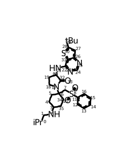 CC(C)CNC1CCC(CS(=O)(=O)c2ccccc2)(N2CC[C@H](Nc3ncnc4cc(C(C)(C)C)sc34)C2=O)CC1